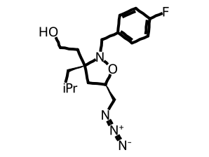 CC(C)C[C@]1(CCO)C[C@H](CN=[N+]=[N-])ON1Cc1ccc(F)cc1